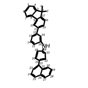 CC1(C)c2ccccc2-c2cc(-c3cccc(Nc4ccc(-c5cccc6ccccc56)cc4)c3)ccc21